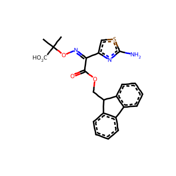 CC(C)(O/N=C(\C(=O)OCC1c2ccccc2-c2ccccc21)c1csc(N)n1)C(=O)O